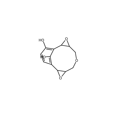 Oc1ccc2c(O)c1C1OC1COCC1OC21